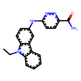 CCn1c2ccccc2c2cc(Nc3ccc(C(N)=O)nn3)ccc21